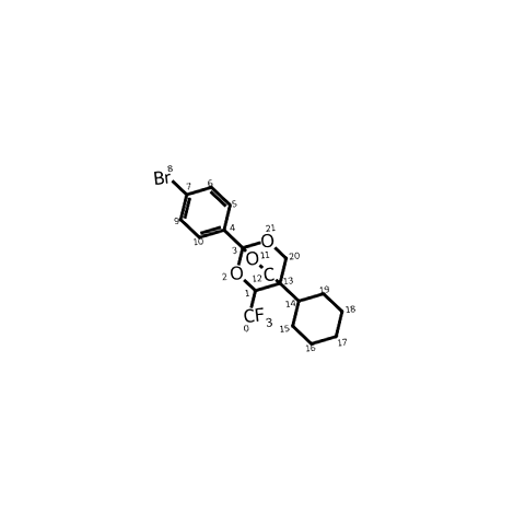 FC(F)(F)C1OC2(c3ccc(Br)cc3)OCC1(C1CCCCC1)CO2